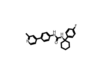 Cc1cc(-c2ccc(NC(=O)NC3(c4ccc(F)cc4)CCCCC3)cc2)ccn1